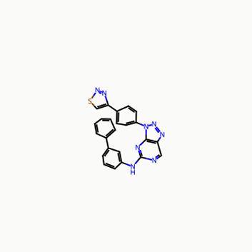 c1ccc(-c2cccc(Nc3ncc4nnn(-c5ccc(-c6csnn6)cc5)c4n3)c2)cc1